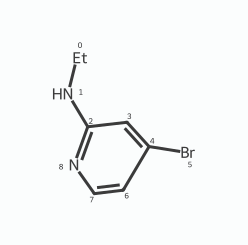 CCNc1cc(Br)ccn1